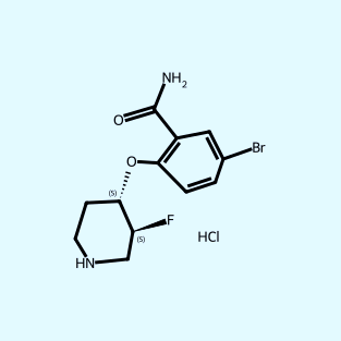 Cl.NC(=O)c1cc(Br)ccc1O[C@H]1CCNC[C@@H]1F